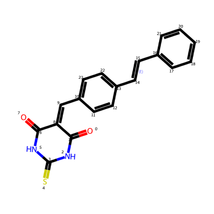 O=C1NC(=S)NC(=O)C1=Cc1ccc(/C=C/c2ccccc2)cc1